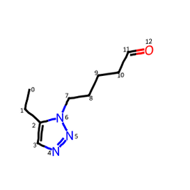 CCc1cnnn1CCCCC=O